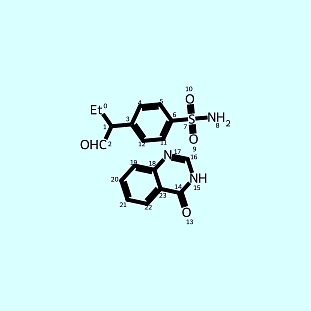 CCC(C=O)c1ccc(S(N)(=O)=O)cc1.O=c1[nH]cnc2ccccc12